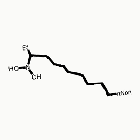 CCCCCCCCCCCCCCCCCC(CC)N(O)O